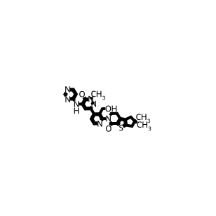 Cn1nc(-c2ccnc(N3CCc4c(sc5c4CC(C)(C)C5)C3=O)c2CO)cc(Nc2ccncn2)c1=O